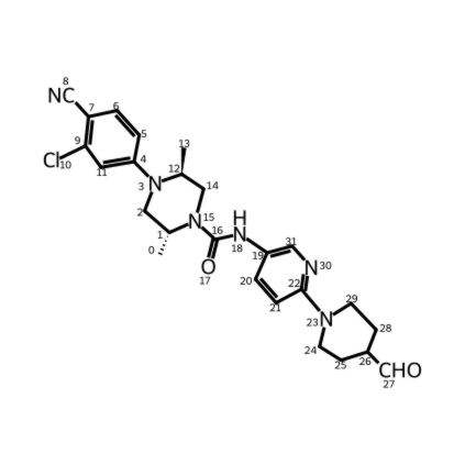 C[C@@H]1CN(c2ccc(C#N)c(Cl)c2)[C@@H](C)CN1C(=O)Nc1ccc(N2CCC(C=O)CC2)nc1